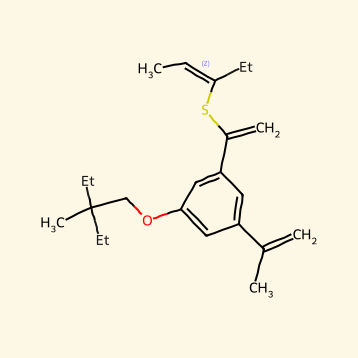 C=C(C)c1cc(OCC(C)(CC)CC)cc(C(=C)S/C(=C\C)CC)c1